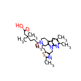 Cc1nc(Cn2c3c(c4cc(C)c(C)nc42)CCN(C(=O)CCC(C)(C)CC(=O)O)C3)c(C)s1